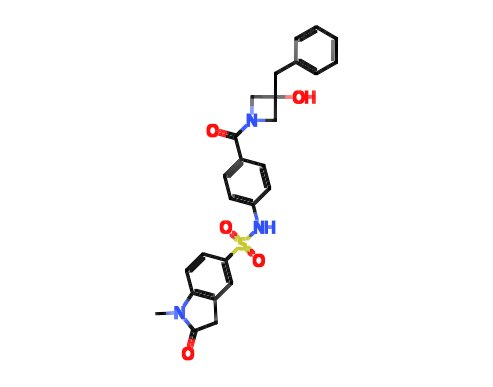 CN1C(=O)Cc2cc(S(=O)(=O)Nc3ccc(C(=O)N4CC(O)(Cc5ccccc5)C4)cc3)ccc21